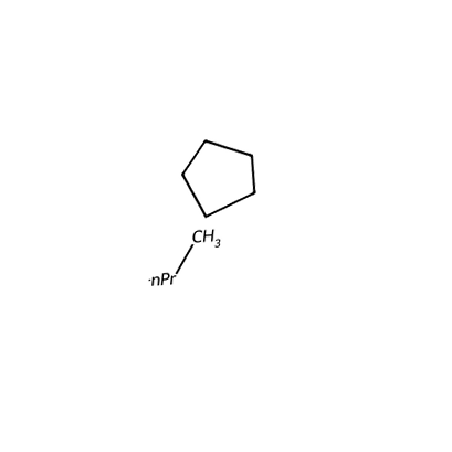 C1CCCC1.C[CH]CC